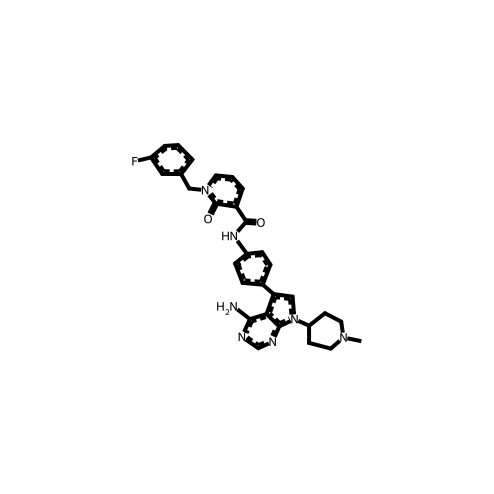 CN1CCC(n2cc(-c3ccc(NC(=O)c4cccn(Cc5cccc(F)c5)c4=O)cc3)c3c(N)ncnc32)CC1